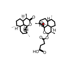 C[C@@H]1CC[C@H]2[C@@H](C)C(=O)O[C@@H]3O[C@]4(C)CC[C@@H]1[C@]32OO4.C[C@H]1[C@@H](OC(=O)CCC(=O)O)O[C@@H]2O[C@@]3(C)CC[C@H]4[C@H](C)CC[C@@H]1[C@@]24OO3